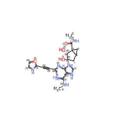 CNC(=O)C12CC1C[C@](O)(n1cnc3c(NC)nc(C#Cc4ncco4)nc31)[C@@H]2O